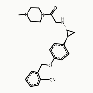 CN1CCN(C(=O)CN[C@@H]2C[C@H]2c2ccc(OCc3ccccc3C#N)cc2)CC1